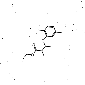 CCOC(=O)C(C)C(C)Oc1cc(C)ccc1C